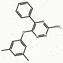 Cc1cc(C)cc(Oc2nnc(N)nc2-c2ccccc2)c1